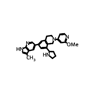 COc1cc(N2CCc3cc(-c4cnc5[nH]cc(C)c5c4)cc(C4CCCN4)c3C2)ccn1